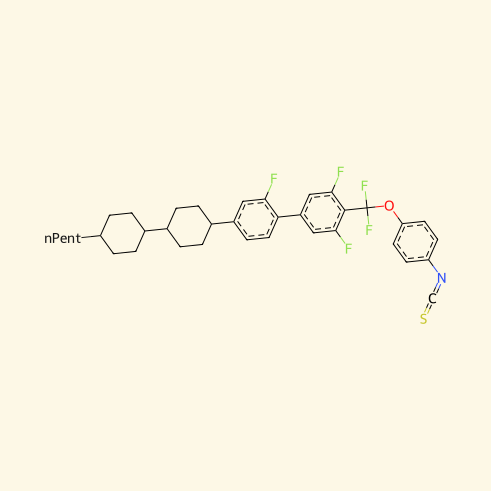 CCCCCC1CCC(C2CCC(c3ccc(-c4cc(F)c(C(F)(F)Oc5ccc(N=C=S)cc5)c(F)c4)c(F)c3)CC2)CC1